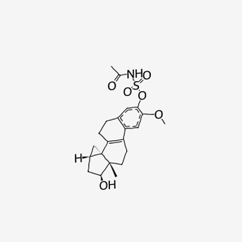 COc1cc2c(cc1OS(=O)(=O)NC(C)=O)CCC1=C2CC[C@]2(C)[C@@H](O)C[C@@H]3C[C@@]132